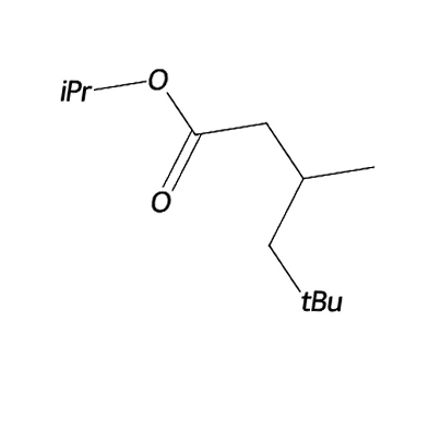 CC(CC(=O)OC(C)C)CC(C)(C)C